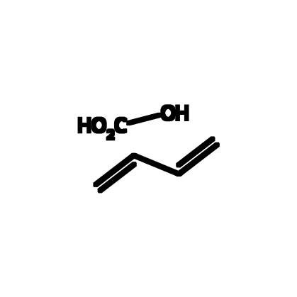 C=CC=C.O=C(O)O